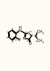 CC(C)[C@H]1SC(Nc2ccccc2F)=NC1=O